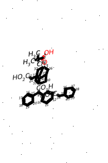 CC(C)(C)C(=O)O.O=C(O)C(c1ccccc1)c1ccccc1.O=C(O)CC12CC3CC(CC(C3)C1)C2.O=C(O)Cc1ccccc1